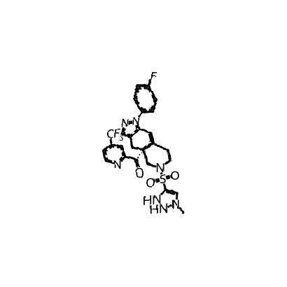 CN1C=C(S(=O)(=O)N2CCC3=Cc4c(cnn4-c4ccc(F)cc4)C[C@]3(C(=O)c3cc(C(F)(F)F)ccn3)C2)NN1